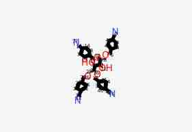 N#Cc1ccc(COC[C@@H](OCc2ccc(C#N)cc2)[C@@H](O)[C@H](O)[C@@H](COCc2ccc(C#N)cc2)OCc2ccc(C#N)cc2)cc1